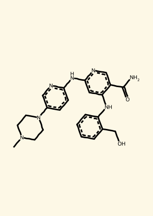 CN1CCN(c2ccc(Nc3cc(Nc4ccccc4CO)c(C(N)=O)cn3)nc2)CC1